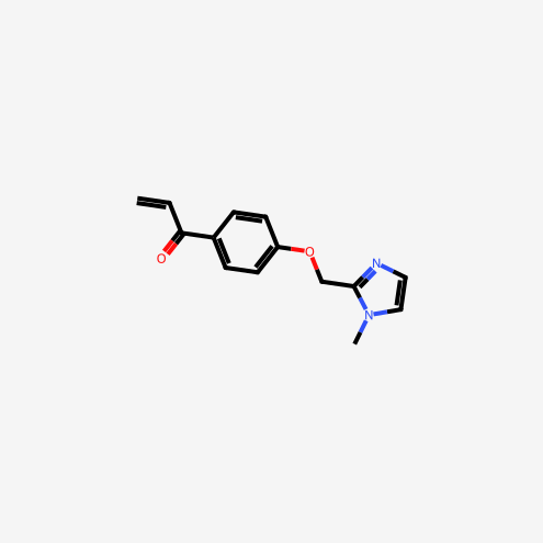 C=CC(=O)c1ccc(OCc2nccn2C)cc1